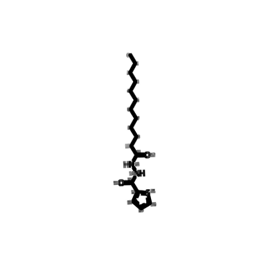 CCCCCCCCCCCC(=O)NNC(=O)c1cccs1